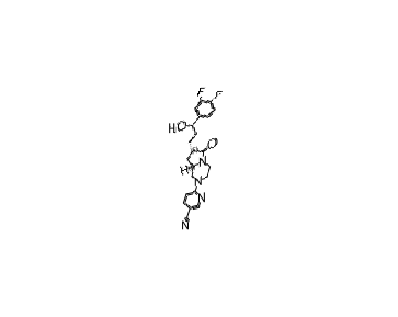 N#Cc1ccc(N2CCN3C(=O)[C@@H](CCC(O)c4ccc(F)c(F)c4)C[C@H]3C2)nc1